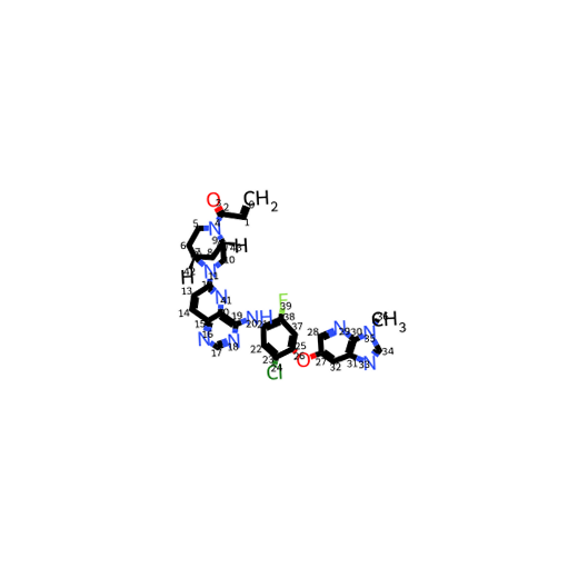 C=CC(=O)N1CC[C@@H]2C[C@H]1CN2c1ccc2ncnc(Nc3cc(Cl)c(Oc4cnc5c(c4)ncn5C)cc3F)c2n1